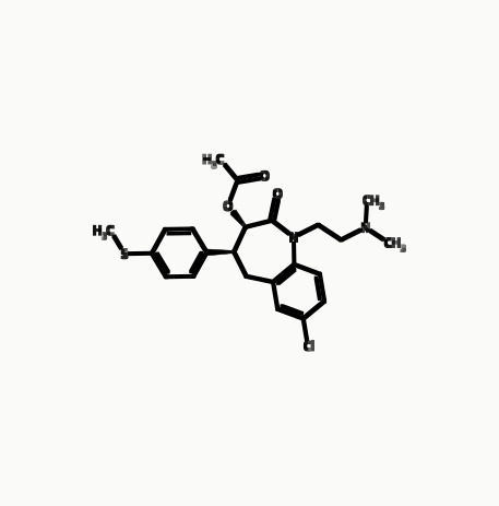 CSc1ccc([C@@H]2Cc3cc(Cl)ccc3N(CCN(C)C)C(=O)[C@@H]2OC(C)=O)cc1